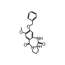 COc1cc2c(cc1OCc1ccccc1)NC(=O)[C@@H]1CCCN1C2=O